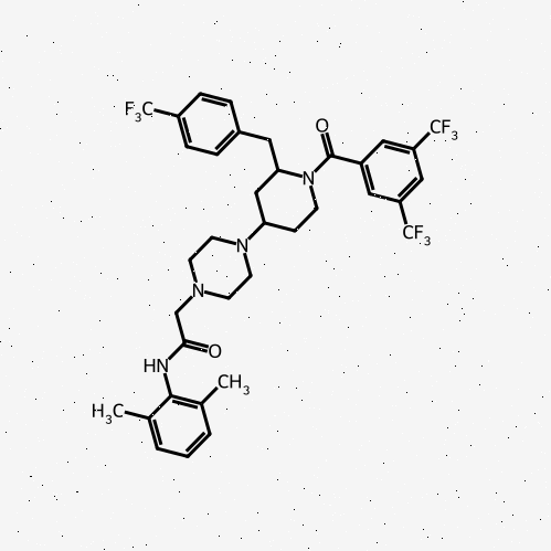 Cc1cccc(C)c1NC(=O)CN1CCN(C2CCN(C(=O)c3cc(C(F)(F)F)cc(C(F)(F)F)c3)C(Cc3ccc(C(F)(F)F)cc3)C2)CC1